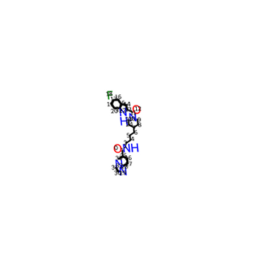 O=C(NCCCCC1CCN(C(=O)c2cc3cc(F)ccc3[nH]2)CC1)c1ccc2nccn2c1